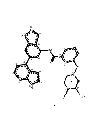 CC(C)N1CCN(Cc2cccc(C(=O)Nc3cc(-c4ccnc5[nH]ccc45)cc4[nH]ncc34)n2)CC1C